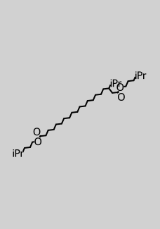 CC(C)CCCOC(=O)CCCCCCCCCCCCCCCCC(CC(=O)OCCCC(C)C)C(C)C